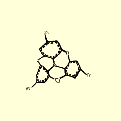 CC(C)c1cc2c3c(c1)Oc1cc(C(C)C)cc4c1B3c1c(cc(C(C)C)cc1O4)O2